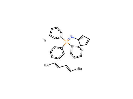 C1=CCC(N=P(c2ccccc2)(c2ccccc2)c2ccccc2)=C1.CC(C)(C)C=CC=CC(C)(C)C.[Ti]